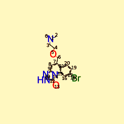 CN(C)CCOCc1cc2n[nH]c(=O)n2c2cc(Br)ccc12